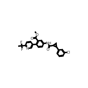 COC(=O)c1cc(NC(=O)C2CC2c2cccc(Cl)c2)ccc1-c1ccc(C(C)(F)F)nc1